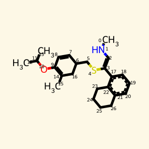 CN/C=C(\SCC1C=CC(OC(C)C)=C(C)C1)c1cccc2c1CCCC2